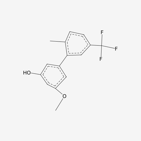 COc1cc(O)cc(-c2cc(C(F)(F)F)ccc2C)c1